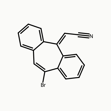 N#CC=C1c2ccccc2C=C(Br)c2ccccc21